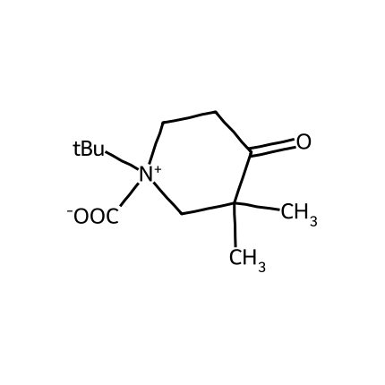 CC1(C)C[N+](C(=O)[O-])(C(C)(C)C)CCC1=O